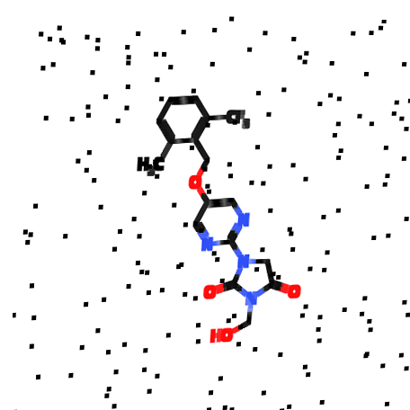 Cc1cccc(C(F)(F)F)c1COc1cnc(N2CC(=O)N(CO)C2=O)nc1